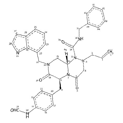 C=CCN1CC(=O)N2[C@@H](Cc3ccc(NC=O)cc3)C(=O)N(Cc3cccc4scnc34)C[C@@H]2N1C(=O)NCc1ccccc1